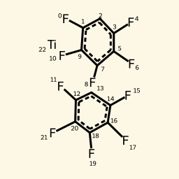 Fc1cc(F)c(F)c(F)c1F.Fc1cc(F)c(F)c(F)c1F.[Ti]